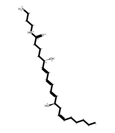 CCCCC/C=C\C[C@@H](O)/C=C/C=CC=C[C@@H](O)CCCC(=O)NCCCN